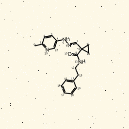 Cc1ccc(NN=CC2(C(=O)NCCc3ccccc3)CC2)cn1